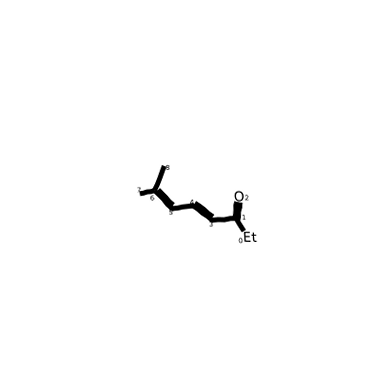 CCC(=O)/C=C/C=C(C)C